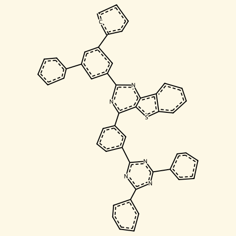 c1ccc(-c2cc(-c3ccccc3)cc(-c3nc(-c4cccc(-c5nc(-c6ccccc6)nc(-c6ccccc6)n5)c4)c4sc5ccccc5c4n3)c2)cc1